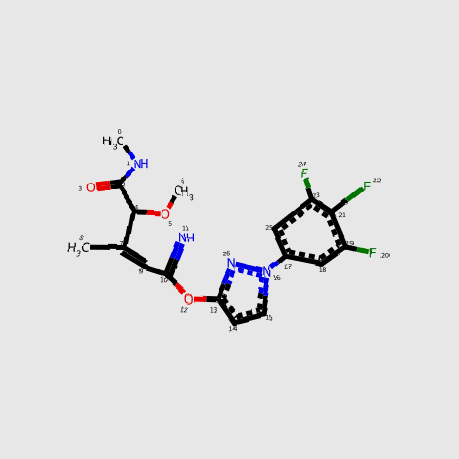 CNC(=O)C(OC)/C(C)=C\C(=N)Oc1ccn(-c2cc(F)c(F)c(F)c2)n1